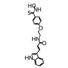 O=C(/C=C/c1c[nH]c2ccccc12)NCCOc1ccc(C(=S)NO)cc1